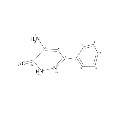 Nc1cc(-c2ccccc2)n[nH]c1=O